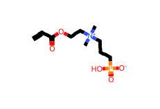 C=CC(=O)OCC[N+](C)(C)CCCP(=O)([O-])O